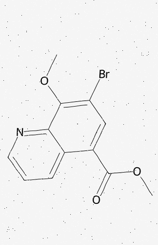 COC(=O)c1cc(Br)c(OC)c2ncccc12